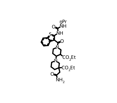 CCCNC(=O)Nc1sc2ccccc2c1C(=O)N1CCC(N2CCCC(CC(N)=O)(C(=O)OCC)C2)C(C(=O)OCC)C1